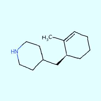 CC1=CCCC[C@H]1CC1CCNCC1